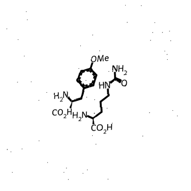 COc1ccc(C[C@H](N)C(=O)O)cc1.NC(=O)NCCC[C@H](N)C(=O)O